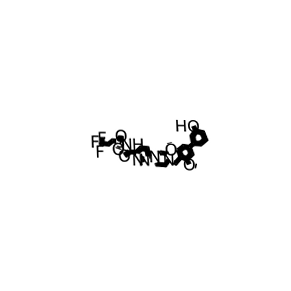 COc1cc(-c2cccc(O)c2)cc(OC)c1CN1CCN(c2ccc(C(=O)NS(=O)(=O)CCC(F)(F)F)nn2)CC1